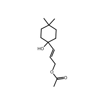 CC(=O)OC/C=C/C1(O)CCC(C)(C)CC1